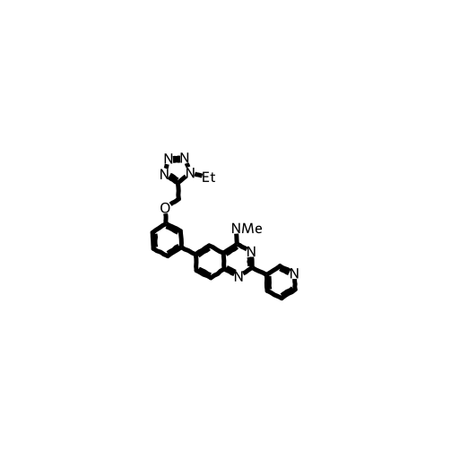 CCn1nnnc1COc1cccc(-c2ccc3nc(-c4cccnc4)nc(NC)c3c2)c1